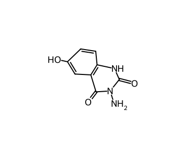 Nn1c(=O)[nH]c2ccc(O)cc2c1=O